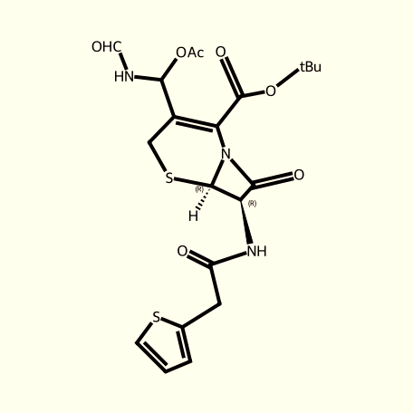 CC(=O)OC(NC=O)C1=C(C(=O)OC(C)(C)C)N2C(=O)[C@@H](NC(=O)Cc3cccs3)[C@H]2SC1